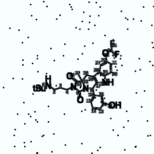 CC(C)(C)NCCCN1C(=O)N2C(c3cccc(O)c3)c3[nH]c4ccc(OC(F)F)cc4c3CC2(C)C1=O